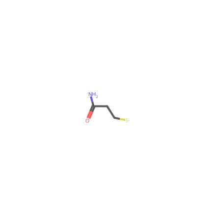 NC(=O)CC[S]